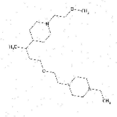 CCN1CCN(CCOCCC(C)C2CCN(CCOC)CC2)CC1